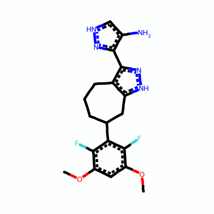 COc1cc(OC)c(F)c(C2CCCc3c(-c4n[nH]cc4N)n[nH]c3C2)c1F